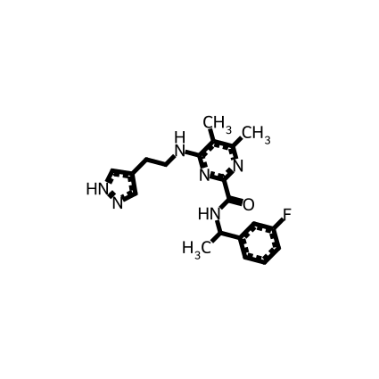 Cc1nc(C(=O)NC(C)c2cccc(F)c2)nc(NCCc2cn[nH]c2)c1C